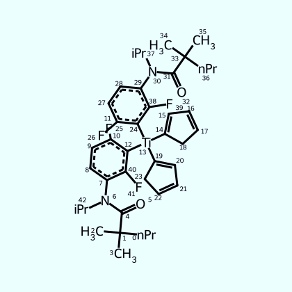 CCCC(C)(C)C(=O)N(c1ccc(F)[c]([Ti]([C]2=CC=CC2)([C]2=CC=CC2)[c]2c(F)ccc(N(C(=O)C(C)(C)CCC)C(C)C)c2F)c1F)C(C)C